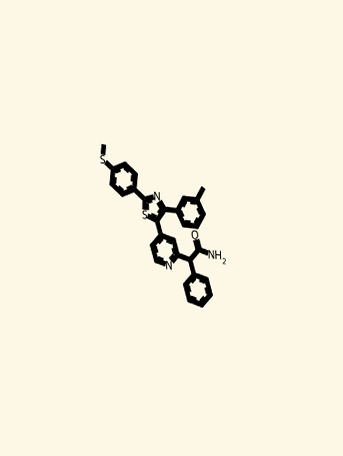 CSc1ccc(-c2nc(-c3cccc(C)c3)c(-c3ccnc(C(C(N)=O)c4ccccc4)c3)s2)cc1